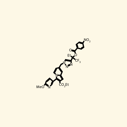 CCOC(=O)c1cc2cc(Cn3cc(C(CC)(OC(=O)c4ccc([N+](=O)[O-])cc4)C(F)(F)F)nn3)ccn2c1-c1ccc(OC)nc1